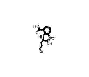 O=C(O)c1cccc([N+](=O)[O-])c1NC(CO)CCCO